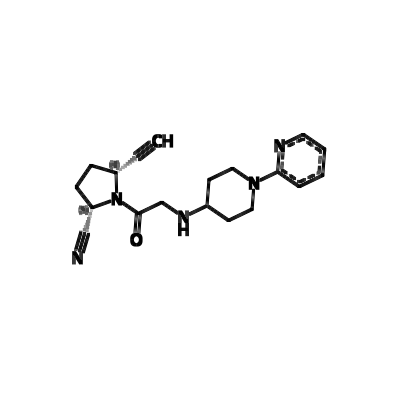 C#C[C@H]1CC[C@@H](C#N)N1C(=O)CNC1CCN(c2ccccn2)CC1